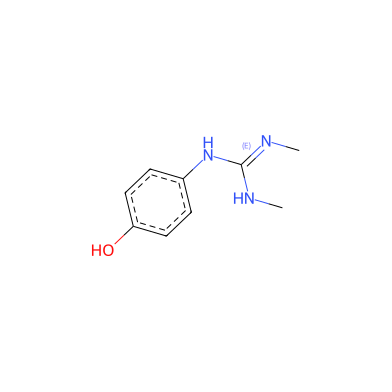 C/N=C(\NC)Nc1ccc(O)cc1